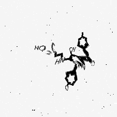 Cc1ccc(C(=O)c2nn(-c3ccc(Cl)cc3)c(NCCC(=O)O)c2C#N)cc1